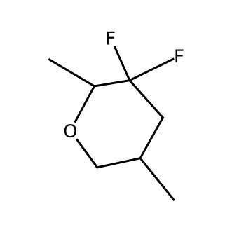 CC1COC(C)C(F)(F)C1